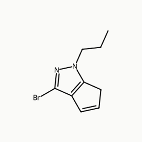 CCCn1nc(Br)c2c1CC=C2